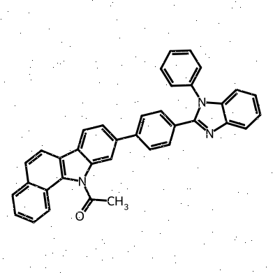 CC(=O)n1c2cc(-c3ccc(-c4nc5ccccc5n4-c4ccccc4)cc3)ccc2c2ccc3ccccc3c21